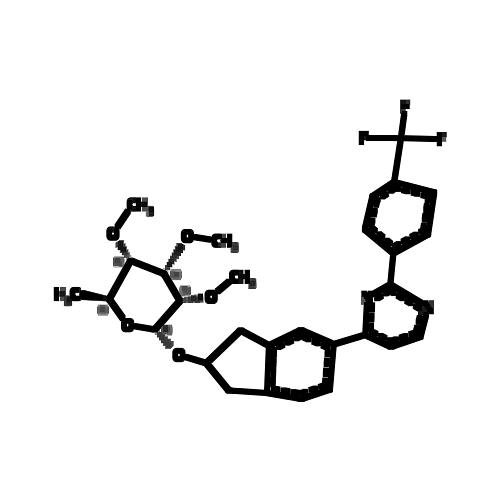 CO[C@@H]1[C@H](OC)[C@H](OC2Cc3ccc(-c4ccnc(-c5ccc(C(F)(F)F)cc5)n4)cc3C2)O[C@@H](C)[C@@H]1OC